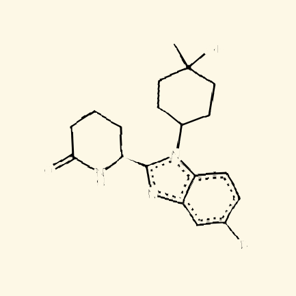 CC1(O)CCC(n2c([C@@H]3CCCC(=O)N3)nc3cc(Br)ccc32)CC1